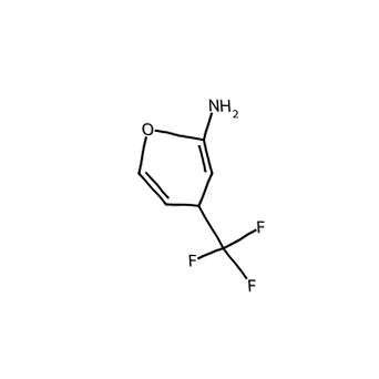 NC1=CC(C(F)(F)F)C=CO1